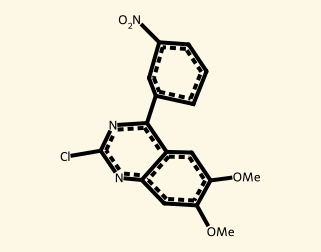 COc1cc2nc(Cl)nc(-c3cccc([N+](=O)[O-])c3)c2cc1OC